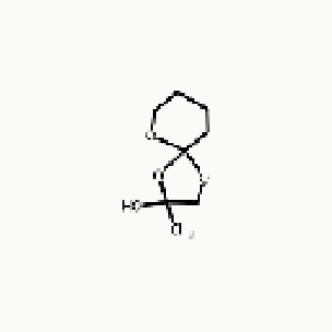 CC1(O)COC2(CCCCO2)O1